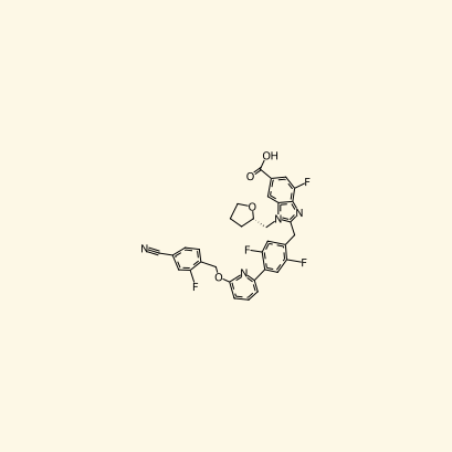 N#Cc1ccc(COc2cccc(-c3cc(F)c(Cc4nc5c(F)cc(C(=O)O)cc5n4C[C@@H]4CCCO4)cc3F)n2)c(F)c1